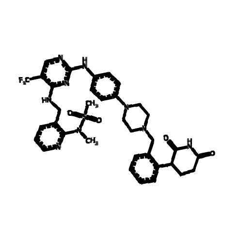 CN(c1ncccc1CNc1nc(Nc2ccc(N3CCN(Cc4ccccc4C4CCC(=O)NC4=O)CC3)cc2)ncc1C(F)(F)F)S(C)(=O)=O